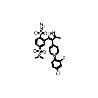 Cc1noc(-c2cc(S(=O)(=O)N(C)C)ccc2S(N)(=O)=O)c1C1=CCN(c2ccc(Cl)cc2F)CC1